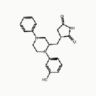 O=C1CC(CC2CN(c3ccccc3)CCN2c2cccc(O)c2)C(=O)N1